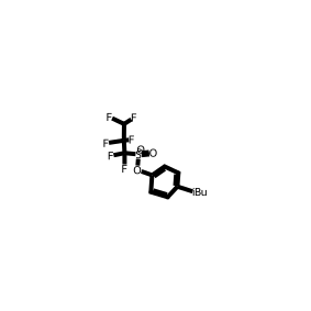 CCC(C)c1ccc(OS(=O)(=O)C(F)(F)C(F)(F)C(F)F)cc1